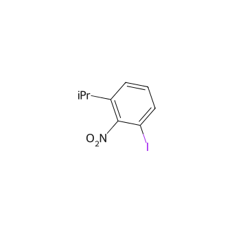 [CH2]C(C)c1cccc(I)c1[N+](=O)[O-]